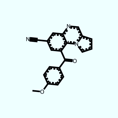 COc1ccc(C(=O)c2cc(C#N)cc3ncc4cccn4c23)cc1